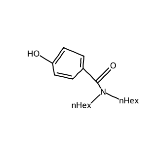 CCCCCCN(CCCCCC)C(=O)c1ccc(O)cc1